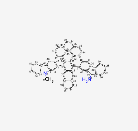 CN1c2cc(-c3c4cc5ccccc5cc4c(-c4ccc5c(c4)C(N)c4ccccc4-5)c4c5cccc6ccc7cccc(c34)c7c65)ccc2C2C=CC=CC21